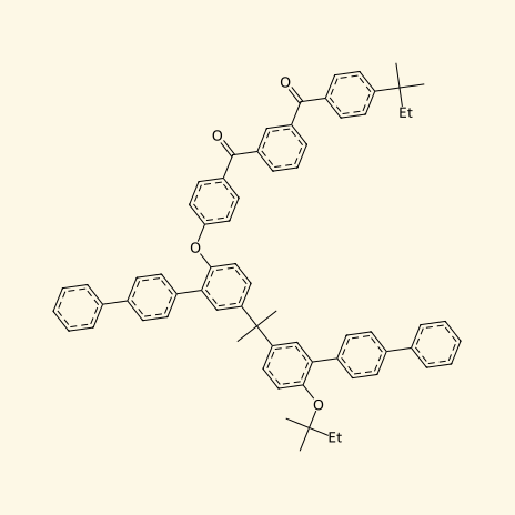 CCC(C)(C)Oc1ccc(C(C)(C)c2ccc(Oc3ccc(C(=O)c4cccc(C(=O)c5ccc(C(C)(C)CC)cc5)c4)cc3)c(-c3ccc(-c4ccccc4)cc3)c2)cc1-c1ccc(-c2ccccc2)cc1